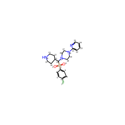 O=S(=O)(c1ccc(F)cc1)C(C1CCNCC1)N1CCN(c2ccccn2)CC1